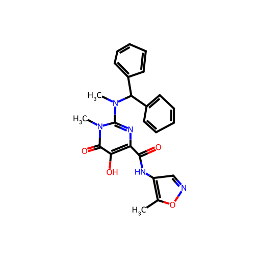 Cc1oncc1NC(=O)c1nc(N(C)C(c2ccccc2)c2ccccc2)n(C)c(=O)c1O